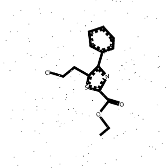 CCOC(=O)c1nc(-c2ccccc2)c(CCCl)s1